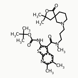 Cc1cc2c(C(=O)N(C)CCCN3CCCC4(C3)CC(C)(C)OC4=O)c(NC(=O)OC(C)(C)C)sc2nc1C